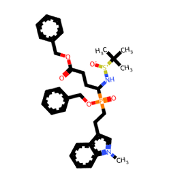 Cn1cc(CCP(=O)(OCc2ccccc2)C(CCC(=O)OCc2ccccc2)N[S+]([O-])C(C)(C)C)c2ccccc21